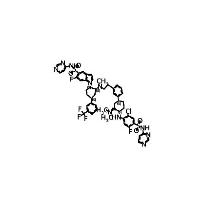 CN(C)[C@H]1C[C@@H](c2cccc(CCN(C)[C@H]3C[C@@H](c4cccc(C(F)(F)F)c4)CC[C@@H]3n3ccc4cc(S(=O)(=O)Nc5ccncn5)c(F)cc43)c2)CC[C@@H]1Nc1cc(F)c(S(=O)(=O)Nc2ccncn2)cc1Cl